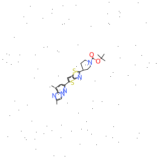 Cc1cn2nc(-c3cc4sc(C5CCN(C(=O)OC(C)(C)C)CC5)nc4s3)cc(C)c2n1